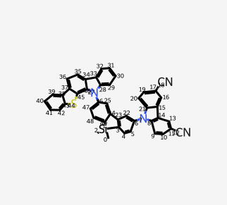 C[Si]1(C)c2ccc(-n3c4ccc(C#N)cc4c4cc(C#N)ccc43)cc2-c2cc(-n3c4ccccc4c4ccc5c6ccccc6sc5c43)ccc21